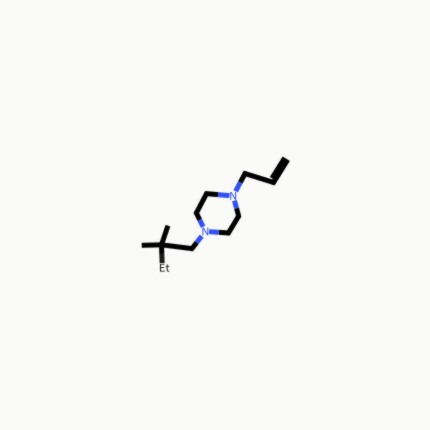 [CH2]CC(C)(C)CN1CCN(CC=C)CC1